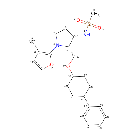 CS(=O)(=O)N[C@H]1CCN(c2occc2C#N)[C@H]1COC1CCC(c2ccccc2)CC1